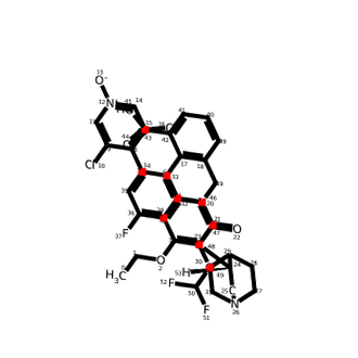 CCOc1cc([C@H](Cc2c(Cl)c[n+]([O-])cc2Cl)c2c(CN(C(=O)O[C@H]3CN4CCC3CC4)c3cccc(F)c3)cccc2C(=O)O)ccc1OC(F)F